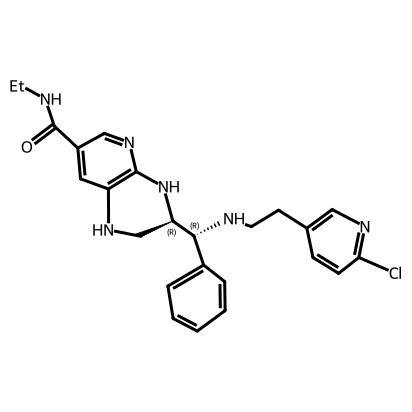 CCNC(=O)c1cnc2c(c1)NC[C@H]([C@H](NCCc1ccc(Cl)nc1)c1ccccc1)N2